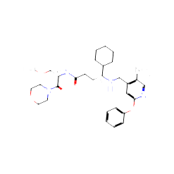 CC(C)(C)OC[C@@H](NC(=O)CC[C@H](NCc1cc(Oc2ccccc2)ncc1[N+](=O)[O-])C1CCCCC1)C(=O)N1CCOCC1